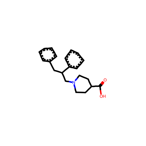 O=C(O)C1CCN(CC(Cc2ccccc2)c2ccccc2)CC1